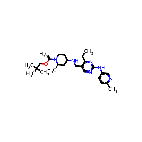 C=C(OCC(C)(C)C)N1CC[C@@H](NCc2cnc(Nc3ccc(C)nc3)nc2CC)C[C@H]1C